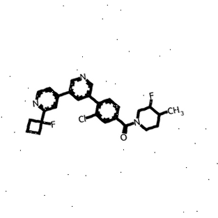 CC1CCN(C(=O)c2ccc(-c3cncc(-c4ccnc(C5(F)CCC5)c4)c3)c(Cl)c2)CC1F